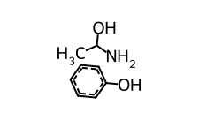 CC(N)O.Oc1ccccc1